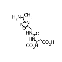 CC(N)c1noc(CNC(=O)NC(CC(=O)O)C(=O)O)n1